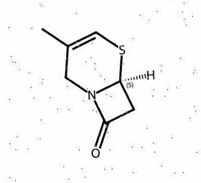 CC1=CS[C@H]2CC(=O)N2C1